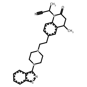 CC1CC(=O)N(C(C)C#N)c2ccc(CCN3CCN(c4nsc5ccccc45)CC3)cc21